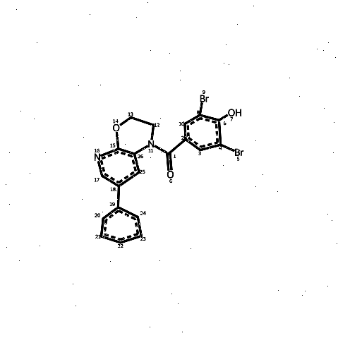 O=C(c1cc(Br)c(O)c(Br)c1)N1CCOc2ncc(-c3ccccc3)cc21